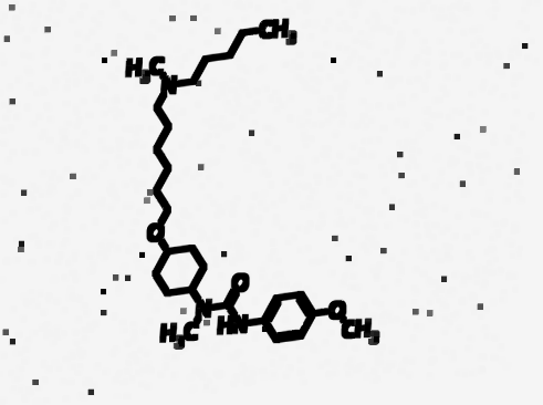 CCCCCN(C)CCCCCCOC1CCC(N(C)C(=O)Nc2ccc(OC)cc2)CC1